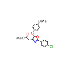 COC(=O)Cc1nc(-c2ccc(Cl)cc2)oc1Oc1ccc(OC)cc1